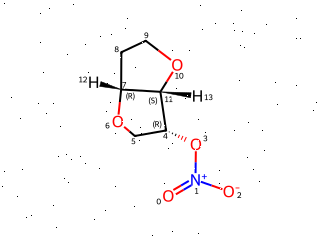 O=[N+]([O-])O[C@@H]1CO[C@@H]2CCO[C@@H]21